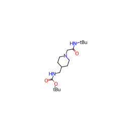 CC(C)(C)NC(=O)CN1CCC(CNC(=O)OC(C)(C)C)CC1